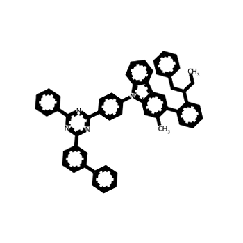 CCC(Cc1ccccc1)c1ccccc1-c1cc2c3ccccc3n(-c3ccc(-c4nc(-c5ccccc5)nc(-c5cccc(-c6ccccc6)c5)n4)cc3)c2cc1C